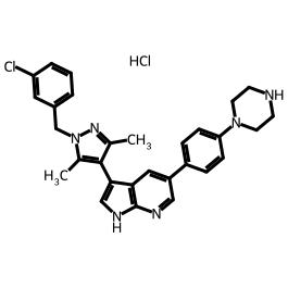 Cc1nn(Cc2cccc(Cl)c2)c(C)c1-c1c[nH]c2ncc(-c3ccc(N4CCNCC4)cc3)cc12.Cl